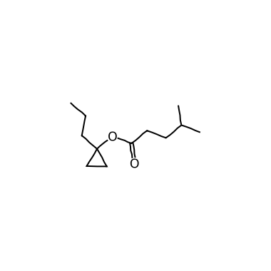 CCCC1(OC(=O)CCC(C)C)CC1